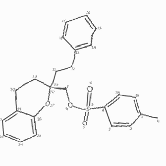 Cc1ccc(S(=O)(=O)OC[C@]2(CCc3ccccc3)CCc3ccccc3O2)cc1